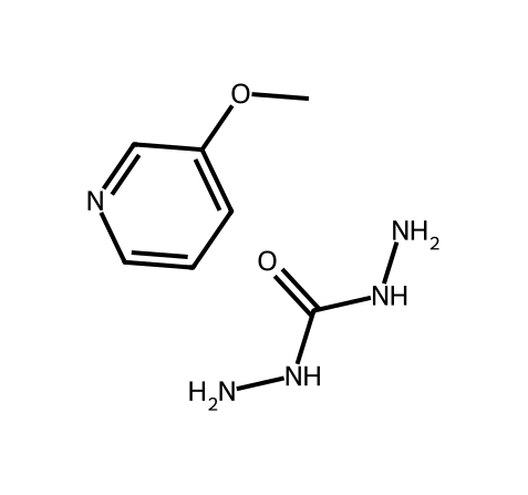 COc1cccnc1.NNC(=O)NN